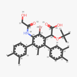 Cc1ccc(-c2c(C)c(-c3ccc(C)c(C)c3)c(C(OC(C)(C)C)C(=O)O)c(Br)c2NC(=O)CO)cc1C